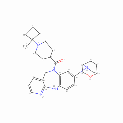 O=C(C1CCN(C2(C(F)(F)F)CCC2)CC1)N1Cc2cccnc2Nc2ccc(N3CC4CCC3CO4)cc21